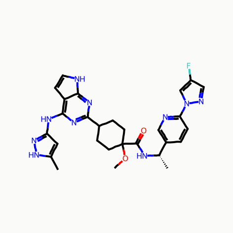 COC1(C(=O)N[C@@H](C)c2ccc(-n3cc(F)cn3)nc2)CCC(c2nc(Nc3cc(C)[nH]n3)c3cc[nH]c3n2)CC1